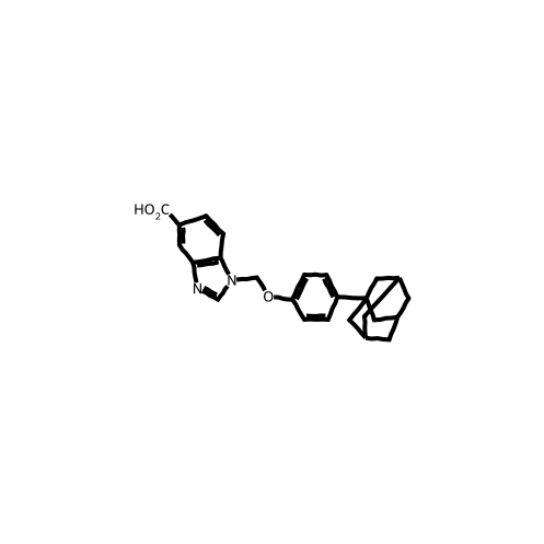 O=C(O)c1ccc2c(c1)ncn2COc1ccc(C23CC4CC(CC(C4)C2)C3)cc1